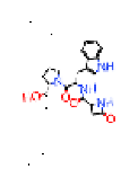 O=C1C[C@@H](C(=O)N[C@@H](Cc2c[nH]c3ccccc23)C(=O)N2CCC[C@H]2CO)N1